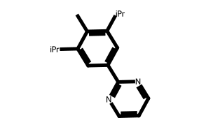 Cc1c(C(C)C)cc(-c2ncccn2)cc1C(C)C